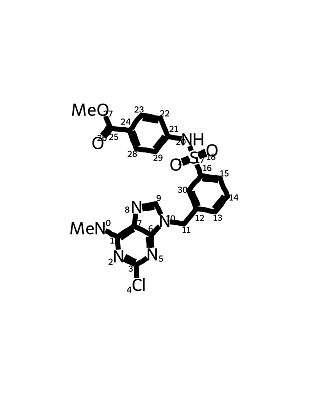 CNc1nc(Cl)nc2c1ncn2Cc1cccc(S(=O)(=O)Nc2ccc(C(=O)OC)cc2)c1